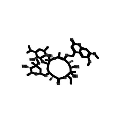 CC[C@H]1OC(=O)[C@H](C)[C@@H](OC2C[C@@](C)(OC)[C@@H](O)[C@H](C)O2)C[C@@H](OC2O[C@H](C)C[C@H](N(C)C)[C@H]2O)[C@](C)(O)C/C(C)=C(/OCc2cc(=O)oc3cc(OC)c(OC)cc23)[C@H](C)[C@@H](O)[C@]1(C)O